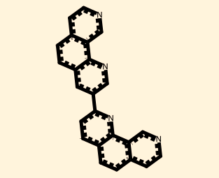 [c]1cc(-c2cnc3c(ccc4ccncc43)c2)nc2c1ccc1ccncc12